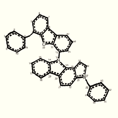 c1ccc(-c2cccc3c2oc2c(-n4c5ccccc5c5ccc6c(ccn6-c6ccccc6)c54)cccc23)cc1